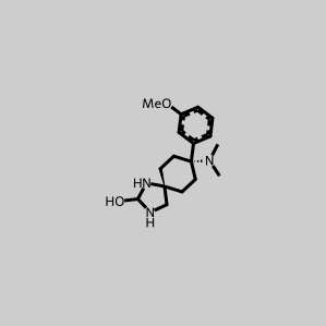 COc1cccc([C@]2(N(C)C)CC[C@@]3(CC2)CNC(O)N3)c1